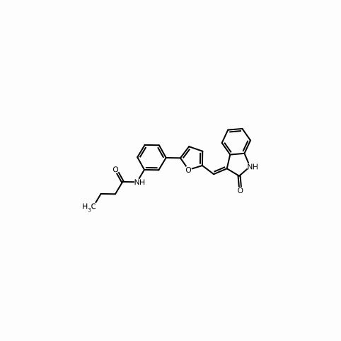 CCCC(=O)Nc1cccc(-c2ccc(/C=C3/C(=O)Nc4ccccc43)o2)c1